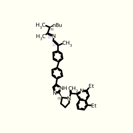 C=C(c1nc(CC)cc2c(CC)cccc12)N1CCC[C@H]1c1ncc(-c2ccc(-c3ccc(/C(C)=C/N=C(\C)[C@@H](C)CCCC)cc3)cc2)[nH]1